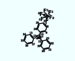 [F][Sb-]([F])([F])([F])([F])[F].c1ccc([Se+](c2ccccc2)c2ccccc2)cc1